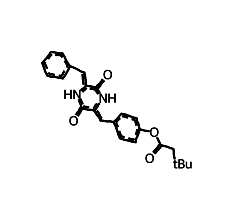 CC(C)(C)CC(=O)Oc1ccc(C=c2[nH]c(=O)c(=Cc3ccccc3)[nH]c2=O)cc1